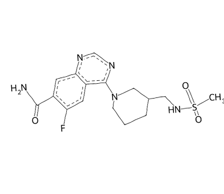 CS(=O)(=O)NCC1CCCN(c2ncnc3cc(C(N)=O)c(F)cc23)C1